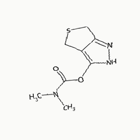 CN(C)C(=O)Oc1[nH]nc2c1CSC2